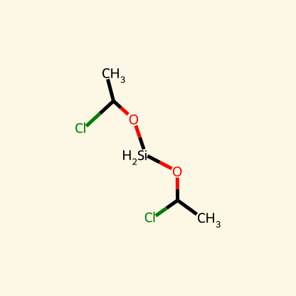 CC(Cl)O[SiH2]OC(C)Cl